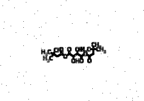 CC(C)(C)CC(=O)OC(=O)C(O)C(O)C(=O)OC(=O)CC(C)(C)C